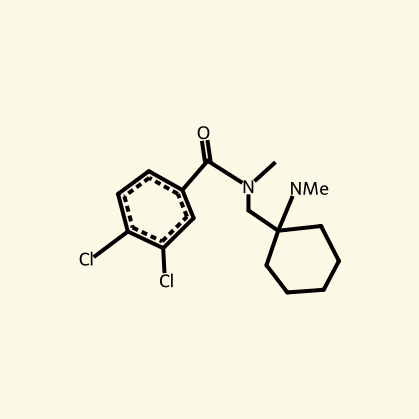 CNC1(CN(C)C(=O)c2ccc(Cl)c(Cl)c2)CCCCC1